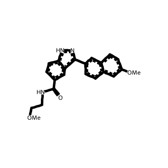 COCCNC(=O)c1ccc2[nH]nc(-c3ccc4cc(OC)ccc4c3)c2c1